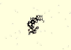 NC(=O)[C@H](CO)Nc1ccc2c(c1)OCCn1cc(N3C(=C=O)OC[C@H]3C(F)F)nc1-2